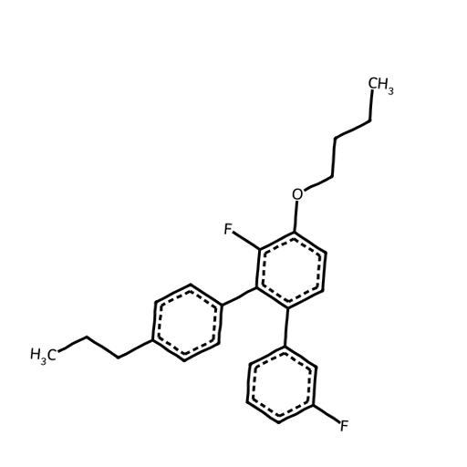 CCCCOc1ccc(-c2cccc(F)c2)c(-c2ccc(CCC)cc2)c1F